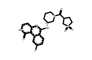 O=C(C1CCS(=O)(=O)C1)N1CCC[C@@H](Nc2nc3cc[nH]c(=O)c3c3cc(F)ccc23)C1